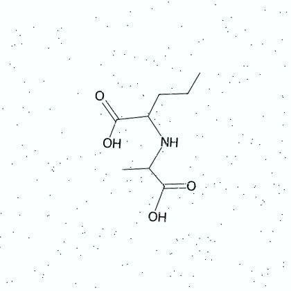 CCCC(NC(C)C(=O)O)C(=O)O